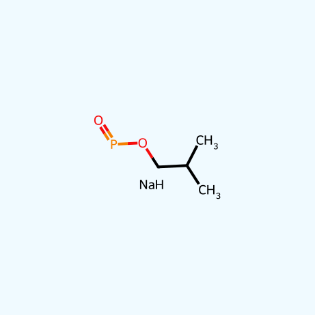 CC(C)COP=O.[NaH]